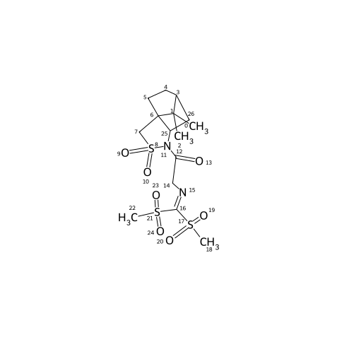 CC1(C)C2CCC13CS(=O)(=O)N(C(=O)CN=C(S(C)(=O)=O)S(C)(=O)=O)C3C2